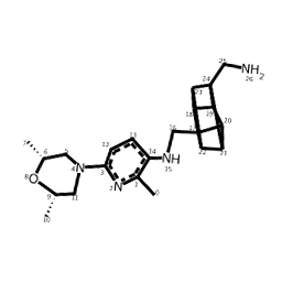 Cc1nc(N2C[C@@H](C)O[C@@H](C)C2)ccc1NCC12C3C4C1C1C2C3C41CN